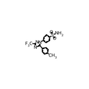 Cc1ccc(-c2nc(C(F)(F)F)nn2-c2ccc(S(N)(=O)=O)cc2)cc1